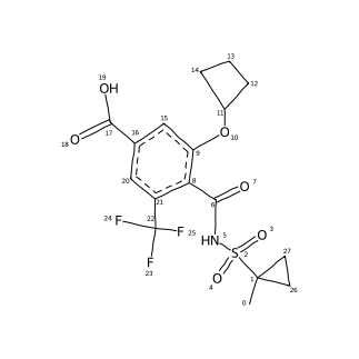 CC1(S(=O)(=O)NC(=O)c2c(OC3CCC3)cc(C(=O)O)cc2C(F)(F)F)CC1